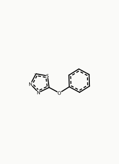 [c]1nnc(Oc2ccccc2)s1